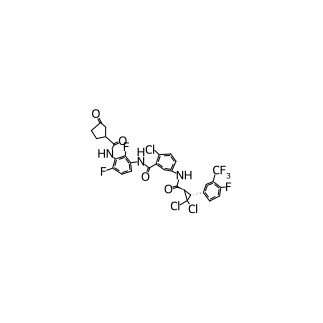 O=C1CCC(C(=O)Nc2c(F)ccc(NC(=O)c3cc(NC(=O)[C@H]4[C@H](c5ccc(F)c(C(F)(F)F)c5)C4(Cl)Cl)ccc3Cl)c2F)C1